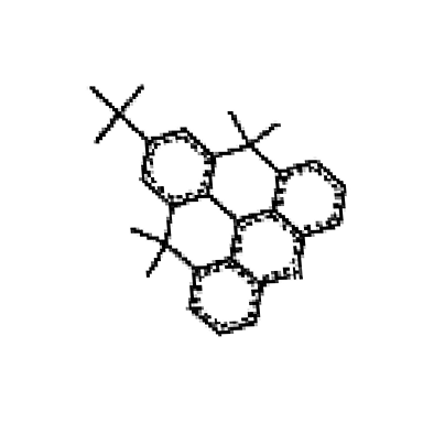 CC(C)(C)c1cc2c3c(c1)C(C)(C)c1cccc4nc5cccc(c5c-3c14)C2(C)C